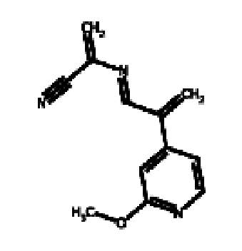 C=C(C#N)/N=C/C(=C)c1ccnc(OC)c1